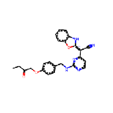 CCC(=O)COc1ccc(CNc2nccc(/C(C#N)=C3/Nc4ccccc4O3)n2)cc1